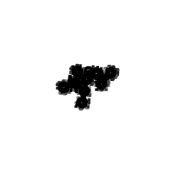 c1ccc(-c2ccc(-c3ccc4oc5ccc6c(c7ccccc7n6-c6ccccc6)c5c4c3)c(-c3nc(-c4ccccc4)nc(-c4ccccc4)n3)c2)cc1